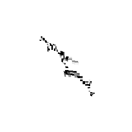 CN(C)CCCOc1ccc(CCN(N)/C=C(\N)CCCCC2=CN(CCc3ccc(OCCCN(C)C)c(Br)c3)NN2)cc1Br